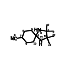 CC1(C)NC2(CCC(C#N)CC2)NC1(C)C